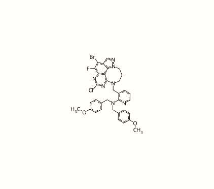 COc1ccc(CN(Cc2ccc(OC)cc2)c2ncccc2CN2CCCn3ncc4c(Br)c(F)c5nc(Cl)nc2c5c43)cc1